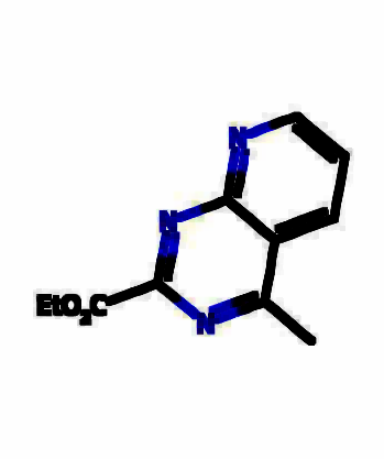 CCOC(=O)c1nc(C)c2cccnc2n1